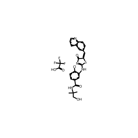 CC(C)(CO)NC(=O)c1ccc(Cl)c(NC2=NC(=O)C(=Cc3ccc4ncccc4c3)S2)c1.O=C(O)C(F)(F)F